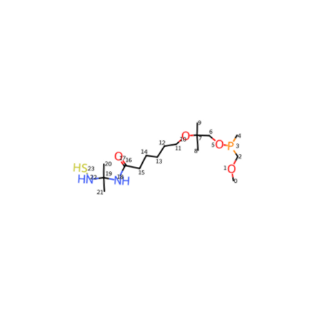 COCP(C)OCC(C)(C)OCCCCCC(=O)NC(C)(C)NS